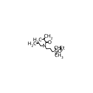 C=CCN(CCC[Si](C)(C)OCC)C(=O)C(=C)C